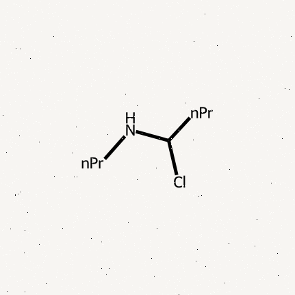 CCCNC(Cl)CCC